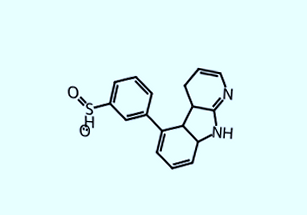 O=[SH](=O)c1cccc(C2=CC=CC3NC4=NC=CCC4C23)c1